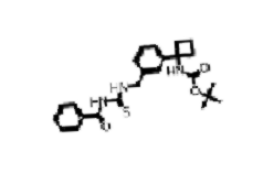 CC(C)(C)OC(=O)NC1(c2cccc(CNC(=S)NC(=O)c3ccccc3)c2)CCC1